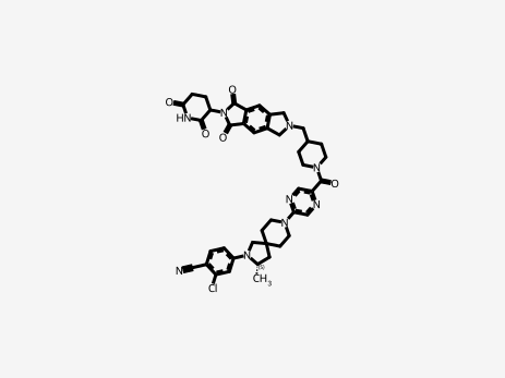 C[C@H]1CC2(CCN(c3cnc(C(=O)N4CCC(CN5Cc6cc7c(cc6C5)C(=O)N(C5CCC(=O)NC5=O)C7=O)CC4)cn3)CC2)CN1c1ccc(C#N)c(Cl)c1